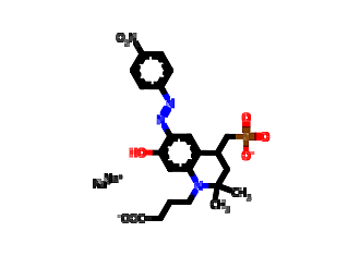 CC1(C)CC(CS(=O)(=O)[O-])c2cc(N=Nc3ccc([N+](=O)[O-])cc3)c(O)cc2N1CCCC(=O)[O-].[Na+].[Na+]